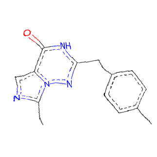 Cc1ccc(Cc2nn3c(C)ncc3c(=O)[nH]2)cc1